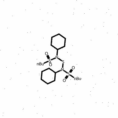 CCCCS(=O)(=O)N(SN(C1CCCCC1)S(=O)(=O)CCCC)C1CCCCC1